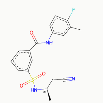 Cc1cc(NC(=O)c2cccc(S(=O)(=O)N[C@H](C)CC#N)c2)ccc1F